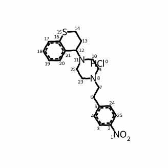 Cl.O=[N+]([O-])c1ccc(CCN2CCN(C3CCSc4ccccc43)CC2)cc1